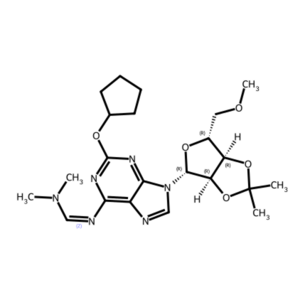 COC[C@H]1O[C@@H](n2cnc3c(/N=C\N(C)C)nc(OC4CCCC4)nc32)[C@@H]2OC(C)(C)O[C@@H]21